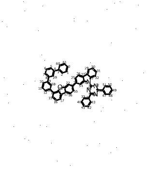 c1ccc(-c2cccc(-c3cccc(-c4cccc5c4oc4cc(-c6ccc7c8ccccc8n(-c8nc(-c9ccccc9)nc(-c9ccccc9)n8)c7c6)ccc45)c3)c2)cc1